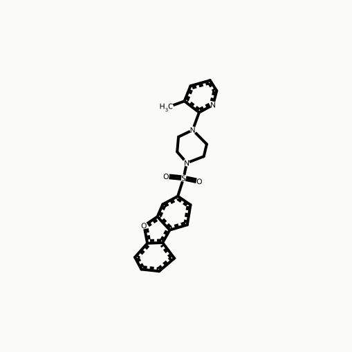 Cc1cccnc1N1CCN(S(=O)(=O)c2ccc3c(c2)oc2ccccc23)CC1